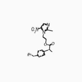 Cc1ncc([N+](=O)[O-])n1CCOC(=O)C(C)c1ccc(CC(C)C)cc1